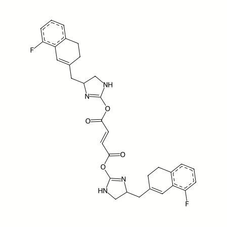 O=C(/C=C/C(=O)OC1=NC(CC2=Cc3c(F)cccc3CC2)CN1)OC1=NC(CC2=Cc3c(F)cccc3CC2)CN1